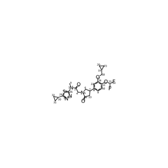 CN(C(=O)CN1CC(c2ccc(OC(F)F)c(OCC3CC3)c2)CC1=O)c1nnc(C2CC2)s1